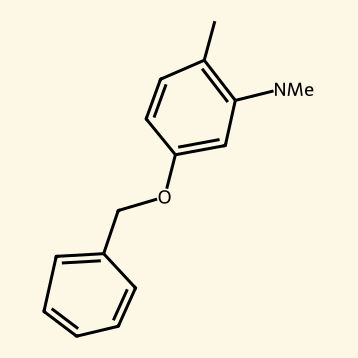 CNc1cc(OCc2ccccc2)ccc1C